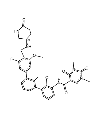 COc1cc(-c2cccc(-c3cccc(NC(=O)c4cn(C)c(=O)n(C)c4=O)c3Cl)c2C)cc(F)c1CN[C@@H]1CCC(=O)NC1